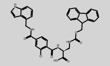 O=C(NC[C@H](NC(=O)c1ccc(C(=O)NCc2cccc3[nH]ccc23)cc1Cl)C(=O)O)OCC1c2ccccc2-c2ccccc21